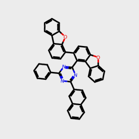 C1=CCCC(c2nc(-c3ccc4ccccc4c3)nc(-c3c(-c4cccc5c4oc4ccccc45)ccc4oc5ccccc5c34)n2)=C1